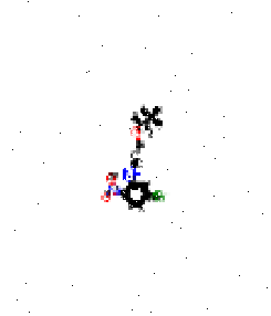 CC(C)(C)[Si](C)(C)OCCCNc1cc(Br)ccc1[N+](=O)[O-]